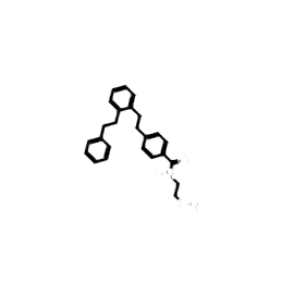 O=C(NCCO)c1ccc(CCc2ccccc2CCc2ccccc2)cc1